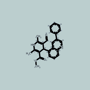 COC(=O)C1=C(C)NC(C)=C(C=O)C1c1cccc2ncc(-c3ccccc3)cc12